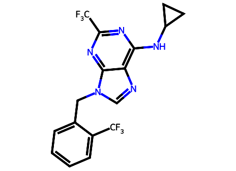 FC(F)(F)c1nc(NC2CC2)c2ncn(Cc3ccccc3C(F)(F)F)c2n1